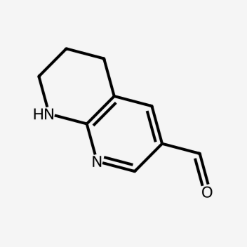 O=Cc1cnc2c(c1)CCCN2